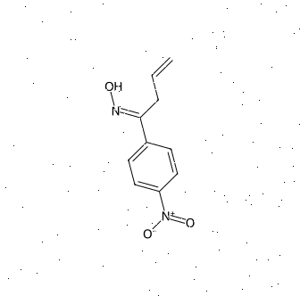 C=CCC(=NO)c1ccc([N+](=O)[O-])cc1